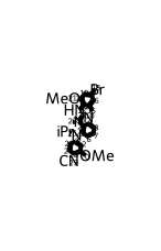 COc1cc(N(c2cccc3nc(Nc4c(C)cc(Br)cc4OC)n(C)c23)C(C)C)ccc1C#N